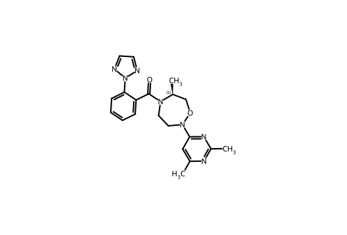 Cc1cc(N2CCN(C(=O)c3ccccc3-n3nccn3)[C@@H](C)CO2)nc(C)n1